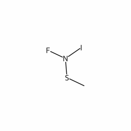 CSN(F)I